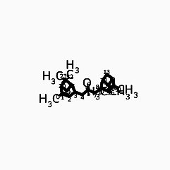 CC1=CC(CC(=O)CC2C=C(C)C3CC2C3(C)C)C2CC1C2(C)C